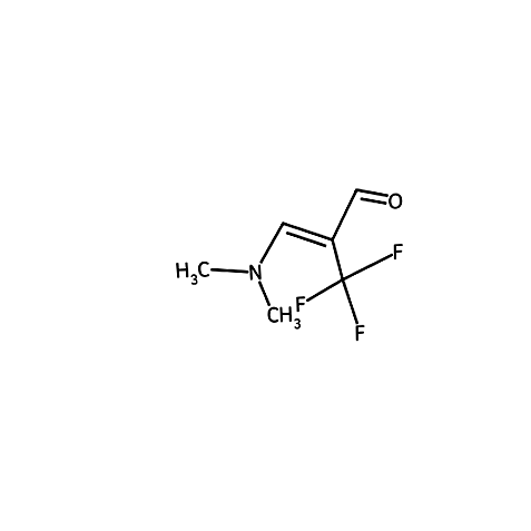 CN(C)C=C(C=O)C(F)(F)F